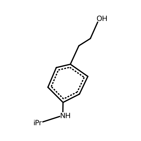 CC(C)Nc1ccc(CCO)cc1